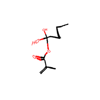 C=C(C)C(=O)OC(O)(O)CCC